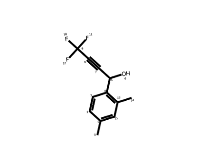 Cc1ccc(C(O)C#CC(F)(F)F)c(C)c1